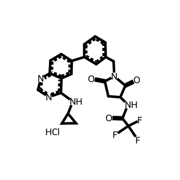 Cl.O=C1CC(NC(=O)C(F)(F)F)C(=O)N1Cc1cccc(-c2ccc3ncnc(NC4CC4)c3c2)c1